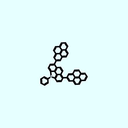 c1ccc(-n2c3ccc(-c4cc5ccc6cccc7ccc(c4)c5c67)c4ccc5c(-c6cc7ccc8cccc9ccc(c6)c7c89)ccc2c5c43)cc1